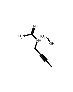 CC#CCNC(=N)N.O=S(=O)(O)O